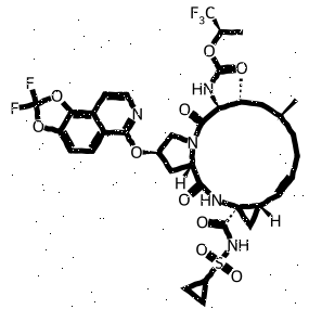 C[C@H]1CC/C=C\[C@@H]2C[C@@]2(C(=O)NS(=O)(=O)C2CC2)NC(=O)[C@@H]2C[C@@H](Oc3nccc4c5c(ccc34)OC(F)(F)O5)CN2C(=O)[C@@H](NC(=O)O[C@H](C)C(F)(F)F)[C@H](C)C1